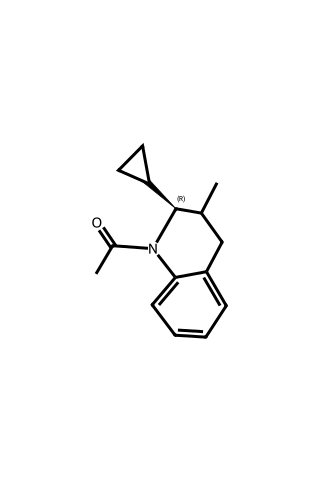 CC(=O)N1c2ccccc2CC(C)[C@@H]1C1CC1